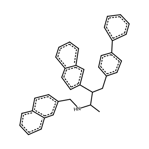 CC(NCc1ccc2ccccc2c1)C(Cc1ccc(-c2ccccc2)cc1)c1ccc2ccccc2c1